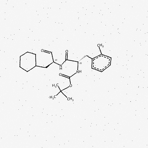 Cc1ccccc1C[C@H](NC(=O)OC(C)(C)C)C(=O)N[C@H]([C]=O)CC1CCCCC1